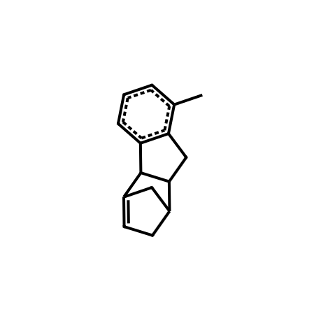 Cc1cccc2c1CC1C3CC=C(C3)C21